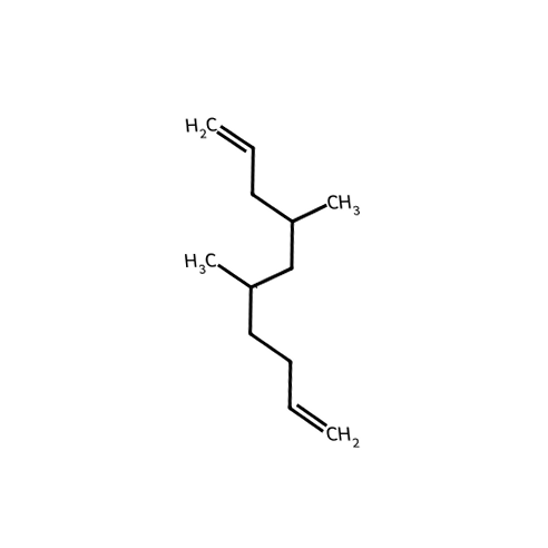 C=CCC[C](C)CC(C)CC=C